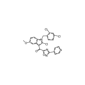 COc1ccc2c(c1)c(C(=O)c1nc(-c3ccncc3)no1)c(Cl)n2Cc1ccc(Cl)cc1Cl